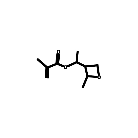 C=C(C)C(=O)OC(C)C1COC1C